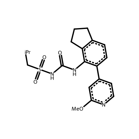 COc1cc(-c2ccc3c(c2NC(=O)NS(=O)(=O)CC(C)C)CCC3)ccn1